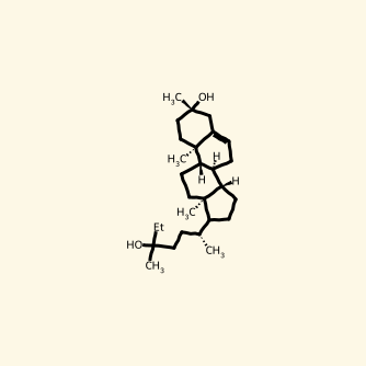 CCC(C)(O)CC[C@@H](C)C1CC[C@H]2[C@@H]3CC=C4C[C@@](C)(O)CC[C@]4(C)[C@H]3CC[C@]12C